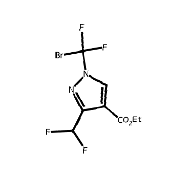 CCOC(=O)c1cn(C(F)(F)Br)nc1C(F)F